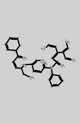 C=CC(=C/C)/C(/C=C\C)=C\C(=C)N(C(=C)/C=C\C(=C/C)NC(/C=C\C(=C)C1C=CC=CC1)CC)c1ccccc1